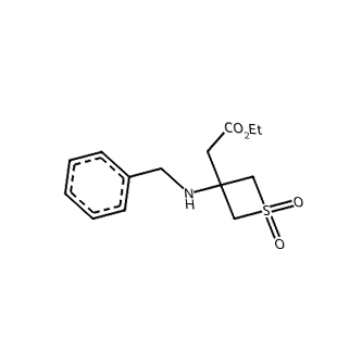 CCOC(=O)CC1(NCc2ccccc2)CS(=O)(=O)C1